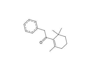 CC1=C(C(=O)Cc2ccccc2)C(C)(C)CCC1